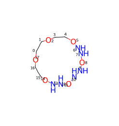 C1COCCONNONNONNOCCO1